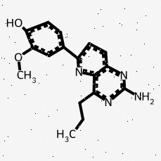 CCCc1nc(N)nc2ccc(-c3ccc(O)c(OC)c3)nc12